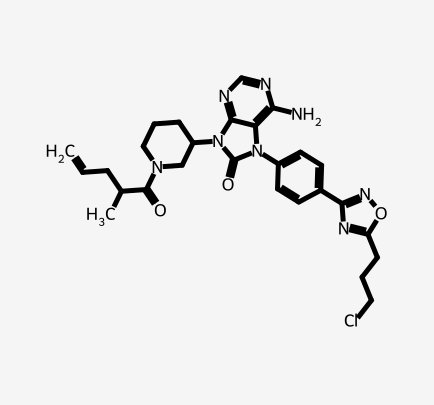 C=CCC(C)C(=O)N1CCCC(n2c(=O)n(-c3ccc(-c4noc(CCCCl)n4)cc3)c3c(N)ncnc32)C1